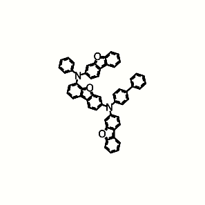 c1ccc(-c2ccc(N(c3ccc4c(c3)oc3ccccc34)c3ccc4c(c3)oc3c(N(c5ccccc5)c5ccc6c(c5)oc5ccccc56)cccc34)cc2)cc1